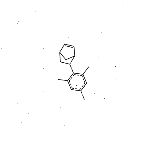 Cc1cc(C)c(C2CC3C=CC2C3)c(C)c1